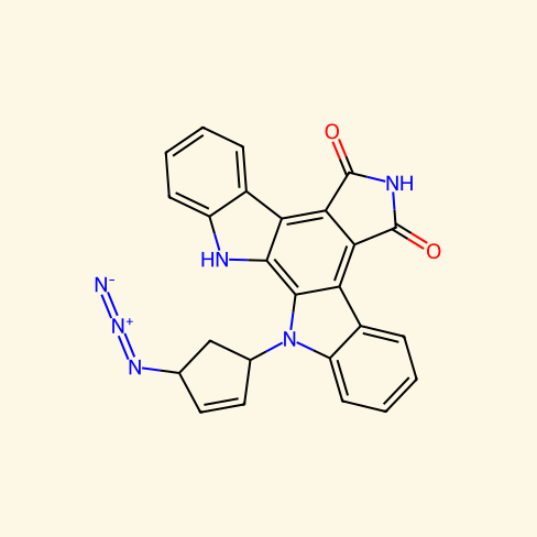 [N-]=[N+]=NC1C=CC(n2c3ccccc3c3c4c(c5c6ccccc6[nH]c5c32)C(=O)NC4=O)C1